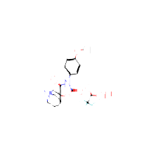 COc1ccc(N2C(=O)OC3(CN4CCC3CC4)C2=O)cc1.O=C(O)C(F)(F)F